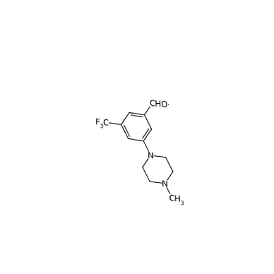 CN1CCN(c2cc([C]=O)cc(C(F)(F)F)c2)CC1